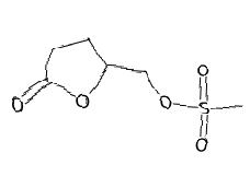 CS(=O)(=O)OCC1CCC(=O)O1